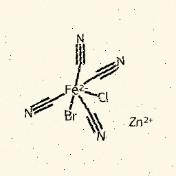 N#[C][Fe-2]([Cl])([Br])([C]#N)([C]#N)[C]#N.[Zn+2]